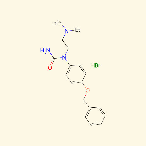 Br.CCCN(CC)CCN(C(N)=O)c1ccc(OCc2ccccc2)cc1